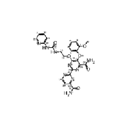 COc1ccccc1Oc1c(OCCNC(=O)Nc2ccccn2)nc(-c2nccc(C(N)=O)n2)nc1C(N)=O